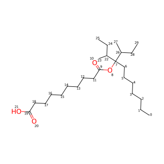 CCCCCCCC(OC(=O)CCCCCCCCC(=O)O)(C(C)CC)C(C)CC